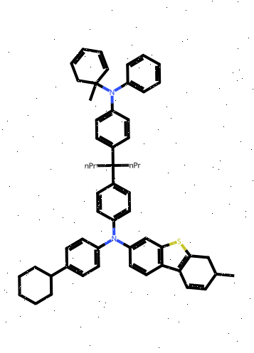 CCCC(CCC)(c1ccc(N(c2ccc(C3CCCCC3)cc2)c2ccc3c4c(sc3c2)CC(C)C=C4)cc1)c1ccc(N(c2ccccc2)C2(C)C=CC=CC2)cc1